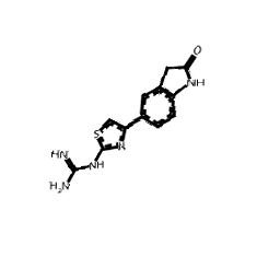 N=C(N)Nc1nc(-c2ccc3c(c2)CC(=O)N3)cs1